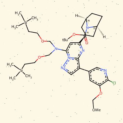 COCOc1cc(-c2cnn3c(N(COCC[Si](C)(C)C)COCC[Si](C)(C)C)cc([C@H]4C[C@H]5CC[C@@H](C4)N5C(=O)OC(C)(C)C)nc23)cnc1Cl